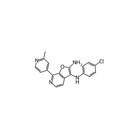 Cc1cc(-c2nccc3c(Nc4ccc(Cl)cc4)c(N)oc23)ccn1